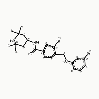 CC1(C)CC(NC(=O)c2ccc(COc3cccc(Br)c3)c(Br)c2)CC(C)(C)N1